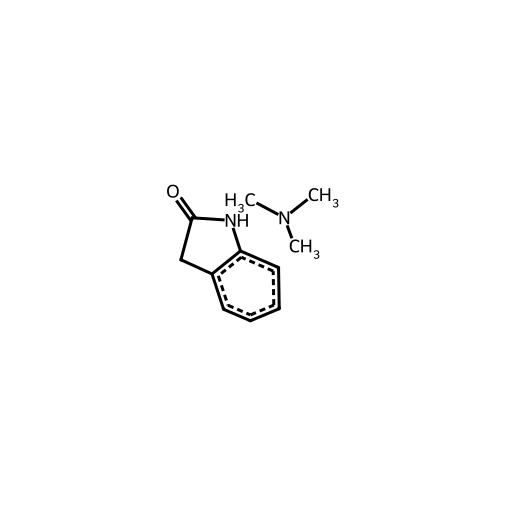 CN(C)C.O=C1Cc2ccccc2N1